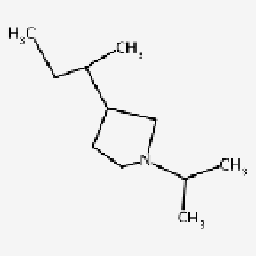 CCC(C)C1CCN(C(C)C)C1